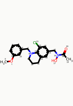 COc1cccc(CN2CCCc3cc(CN(O)C(C)=O)cc(Cl)c32)c1